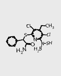 BN(S)c1nc(SC(C(N)=O)c2ccccc2)c(Cl)c(CC)c1Cl